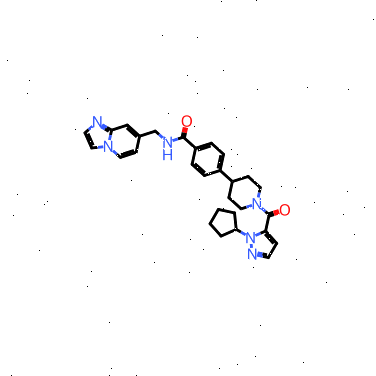 O=C(NCc1ccn2ccnc2c1)c1ccc(C2CCN(C(=O)c3ccnn3C3CCCC3)CC2)cc1